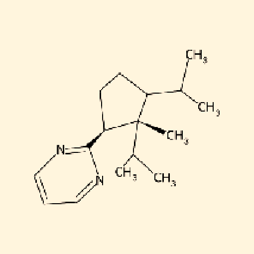 CC(C)C1CC[C@H](c2ncccn2)[C@@]1(C)C(C)C